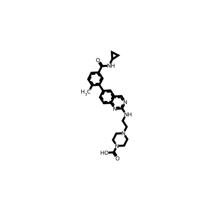 Cc1ccc(C(=O)NC2CC2)cc1-c1ccc2nc(NCCN3CCN(C(=O)O)CC3)ncc2c1